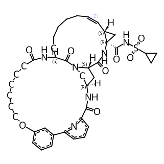 O=C1CCCCCCOc2cccc(c2)-c2cccc(n2)C(=O)N[C@@H]2C[C@H]3C(=O)N[C@]4(C(=O)NS(=O)(=O)C5CC5)C[C@H]4/C=C\CCCCC[C@H](N1)C(=O)N3C2